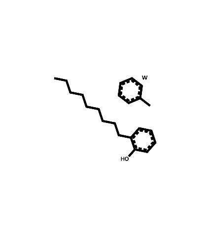 CCCCCCCCCc1ccccc1O.Cc1ccccc1.[W]